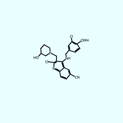 COc1ccc(CNc2c(CN3CCCC(O)C3)c(Cl)nc3ccc(C#N)cc23)cc1Cl